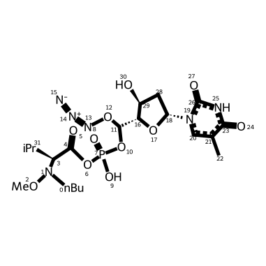 CCCCN(OC)[C@H](C(=O)OP(=O)(O)OC(ON=[N+]=[N-])[C@H]1O[C@@H](n2cc(C)c(=O)[nH]c2=O)C[C@@H]1O)C(C)C